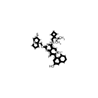 CCC1CCCc2cc(O)cc(-c3ncc4c(NCC5(N(C)C)CCC5)nc(OC[C@@]56CCCN5C[C@H](F)C6)nc4c3F)c21